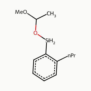 CCCc1ccccc1[SiH2]OC(C)OC